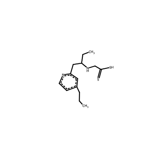 CCCc1ccnc(CC(CC)NCC(=S)S)c1